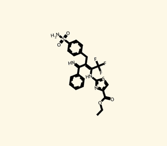 CCOC(=O)c1csc(N/C(=C(/Cc2ccc(S(N)(=O)=O)cc2)C(=N)c2ccccc2)C(F)(F)F)n1